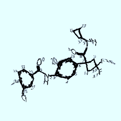 O=C(Nc1ccc(C2(C(=O)NC3CC3)CC(F)(F)C2)cc1)c1cccc(Cl)c1